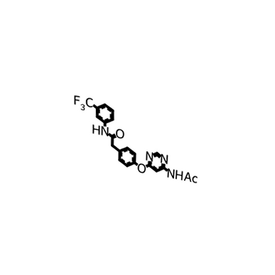 CC(=O)Nc1cc(Oc2ccc(CC(=O)Nc3cccc(C(F)(F)F)c3)cc2)ncn1